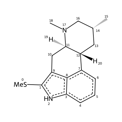 CSc1[nH]c2cccc3c2c1C[C@@H]1[C@@H]3C[C@@H](C)CN1C